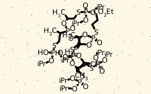 CCOC(=O)CCSP(=O)(OC(C)CSP(=O)(OC(C)CSP(=O)(OC(C)C)OC(C)C)OC(C)CSP(=O)(OC(C)C)OC(C)C)OC(C)CSP(=O)(OC(C)CSP(=O)(OC(C)C)OC(C)C)C(C)CS[PH](O)(OC(C)C)OC(C)C